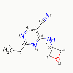 CCc1ncc(C#N)c(NC2COC2)n1